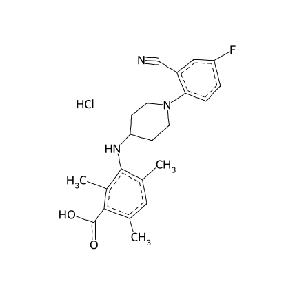 Cc1cc(C)c(C(=O)O)c(C)c1NC1CCN(c2ccc(F)cc2C#N)CC1.Cl